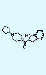 O=C(c1cc2ccccc2[nH]1)N1CCN(C2CCCC2)CC1